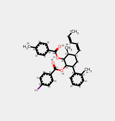 C/C=C\C=C/[C@H]1CC(c2ccccc2C)C(OC(=O)c2ccc(I)cc2)C(OC(=O)c2ccc(C)cc2)[C@H]1C